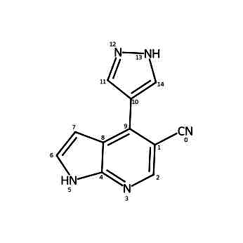 N#Cc1cnc2[nH]ccc2c1-c1cn[nH]c1